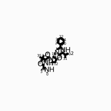 CN[C@@H](C)C(=O)N[C@H](C(=O)N1CCC[C@H]1CN(CCc1ccccc1)C(=O)[C@H](N)C(C)C)C(C)(C)C